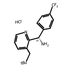 CC(C)(C)Cc1cccnc1[C@@H](N)c1ccc(C(F)(F)F)cc1.Cl